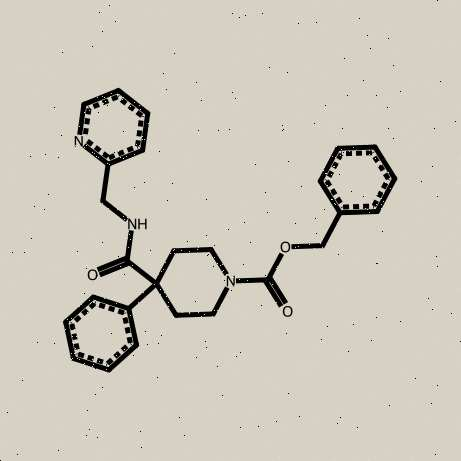 O=C(OCc1ccccc1)N1CCC(C(=O)NCc2ccccn2)(c2ccccc2)CC1